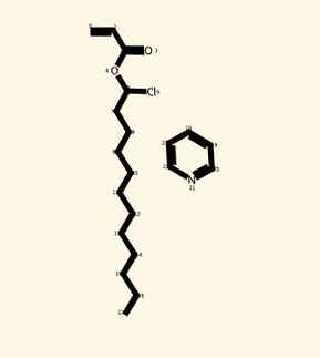 C=CC(=O)OC(Cl)CCCCCCCCCCC.c1ccncc1